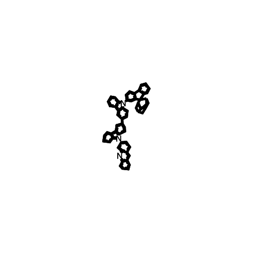 c1ccc2c(c1)-c1ccc(-n3c4ccccc4c4cc(-c5ccc6c(c5)c5ccccc5n6-c5ccc6cc7ccccc7nc6c5)ccc43)cc1C21C2CC3CC(C2)CC1C3